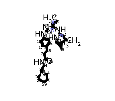 C=C(/C=C(\NC)NC(/C=C/C)=N/C(=N)Nc1ccc(CCC(=O)NCCN2CCCCC2)cc1)C1CC1